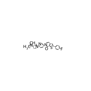 CN(C)C1CCN(c2ccc(-n3ccc4cc(-c5ccc(F)cc5)sc4c3=O)cn2)C1